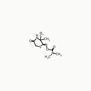 CN(C)C(=O)ON=C1SCC(=O)NC1(C)C